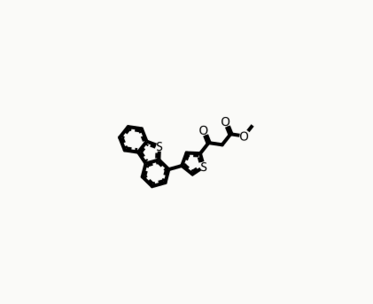 COC(=O)CC(=O)c1cc(-c2cccc3c2sc2ccccc23)cs1